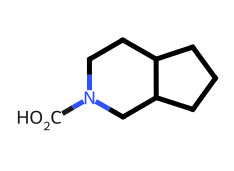 O=C(O)N1CCC2CCCC2C1